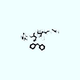 Cn1nnnc1SCC1=C(C(=O)OC(c2ccccc2)c2ccccc2)N2C(=O)C(NC(=O)CSCC#N)[C@H]2SC1